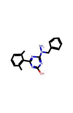 Cc1cccc(C)c1-c1nc(O)nc(N(N)Cc2ccccc2)n1